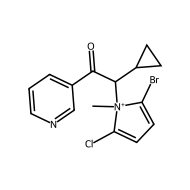 C[N+]1(C(C(=O)c2cccnc2)C2CC2)C(Cl)=CC=C1Br